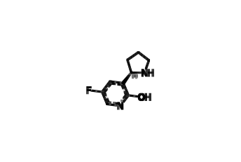 Oc1ncc(F)cc1[C@H]1CCCN1